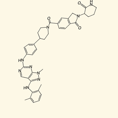 Cc1cccc(C)c1Nc1nn(C)c2nc(Nc3ccc(C4CCN(C(=O)c5ccc6c(c5)CN(C5CCCNC5=O)C6=O)CC4)cc3)ncc12